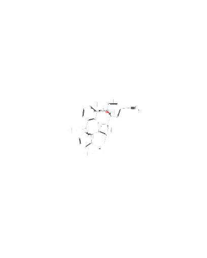 CC(C)c1cccc(C(C)C)c1-n1c(-c2cc(C#N)ccc2C(F)(F)F)nc2c1-c1ccccc1C(C)(C)C2